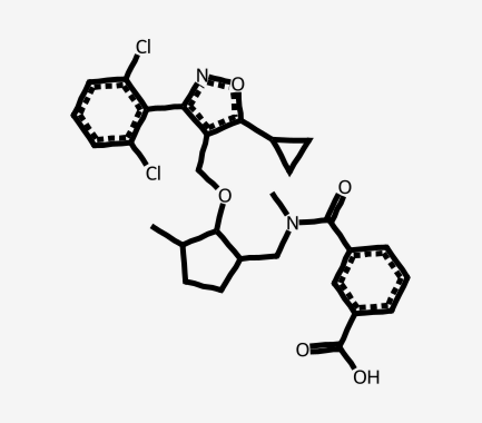 CC1CCC(CN(C)C(=O)c2cccc(C(=O)O)c2)C1OCc1c(-c2c(Cl)cccc2Cl)noc1C1CC1